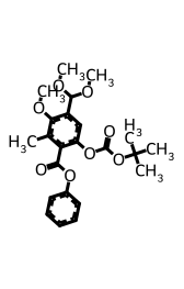 COc1c(C(OC)OC)cc(OC(=O)OC(C)(C)C)c(C(=O)Oc2ccccc2)c1C